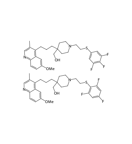 COc1ccc2ncc(C)c(CCCC3(CO)CCN(CCSc4c(F)cc(F)cc4F)CC3)c2c1.COc1ccc2ncc(C)c(CCCC3(CO)CCN(CCSc4cc(F)c(F)c(F)c4)CC3)c2c1